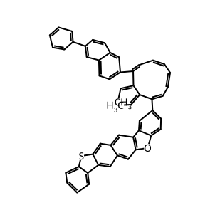 C/C=c1/c(-c2ccc3cc(-c4ccccc4)ccc3c2)ccccccc(-c2ccc3oc4cc5cc6c(cc5cc4c3c2)sc2ccccc26)/c1=C/C